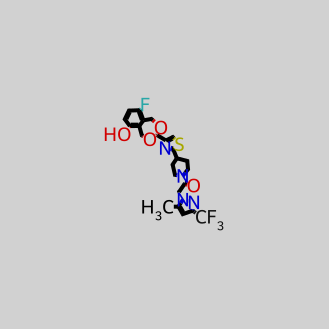 Cc1cc(C(F)(F)F)nn1CC(=O)N1CCC(c2nc(C3OCc4c(O)ccc(F)c4CO3)cs2)CC1